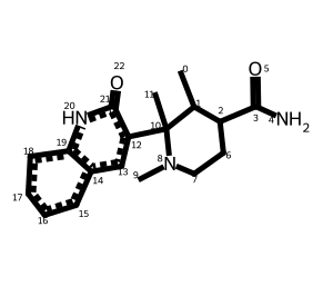 CC1C(C(N)=O)CCN(C)C1(C)c1cc2ccccc2[nH]c1=O